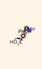 CC#CC(CC(=O)O)c1ccc(O[C@H](c2cccc3[nH]ncc23)C(C)C)cc1